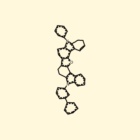 C1=Cc2c(n(-c3ccccc3)c3ccc4c5c(oc4c23)-c2c(n(-c3cccc(-c4ccccc4)c3)c3ccccc23)CC5)CC1